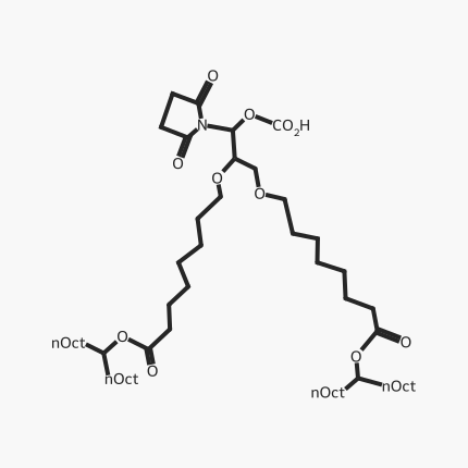 CCCCCCCCC(CCCCCCCC)OC(=O)CCCCCCCOCC(OCCCCCCCC(=O)OC(CCCCCCCC)CCCCCCCC)C(OC(=O)O)N1C(=O)CCC1=O